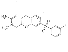 CN(CC1CCc2ccc(S(=O)(=O)c3cccc(F)c3)cc2O1)C(N)=O